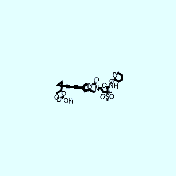 C[C@@](CCN1Cc2cc(C#CC#CC3(C(CCl)OC(=O)O)CC3)cn2C1=O)(C(=O)NOC1CCCCO1)S(C)(=O)=O